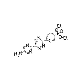 CCOP(=O)(OCC)c1ccc(-c2nnc(-c3ncc(N)cn3)nn2)cc1